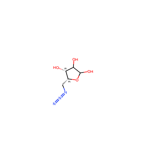 [N-]=[N+]=NC[C@H]1OC(O)C(O)[C@H]1O